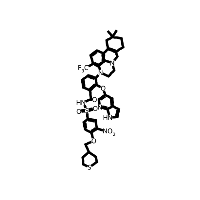 CC1(C)CCC(CN2CCN(c3cccc(C(=O)NS(=O)(=O)c4ccc(OCC5CCSCC5)c([N+](=O)[O-])c4)c3Oc3cnc4[nH]ccc4c3)CC2)=C(c2ccc(C(F)(F)F)cc2)C1